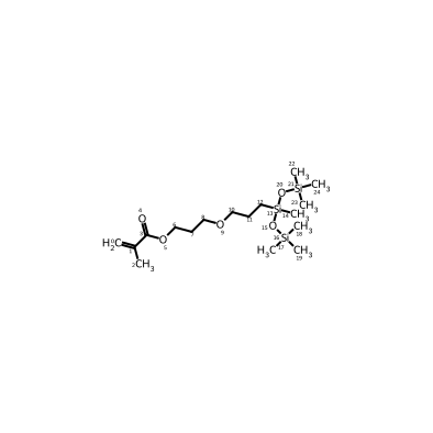 C=C(C)C(=O)OCCCOCCC[Si](C)(O[Si](C)(C)C)O[Si](C)(C)C